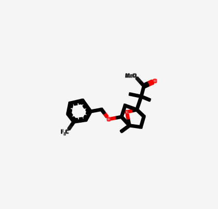 COC(=O)C(C)(C)C12CCC(C)(O1)C(OCc1cccc(C(F)(F)F)c1)C2